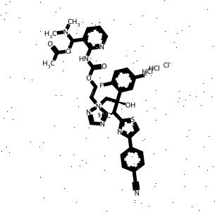 CC(=O)OC(c1cccnc1NC(=O)OCC[N+]1(C[C@](O)(c2cc(F)ccc2F)[C@@H](C)c2nc(-c3ccc(C#N)cc3)cs2)C=NC=N1)N(C)C.Cl.Cl.[Cl-]